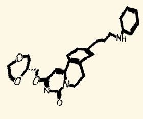 O=c1nc(OC[C@H]2COCCO2)cc2n1CCc1cc(CCCNC3C=CC=CC3)ccc1-2